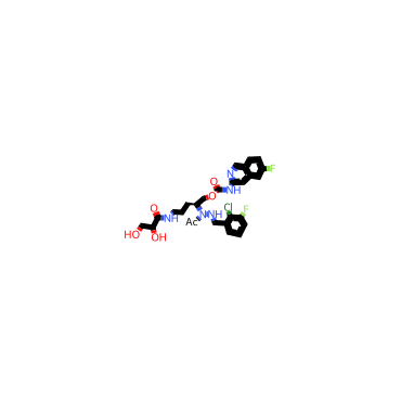 CC(=O)N(NCc1cccc(F)c1Cl)[C@@H](CCCNC(=O)C(O)CO)COC(=O)Nc1cc2cc(F)ccc2cn1